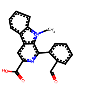 Cn1c2ccccc2c2cc(C(=O)O)nc(-c3ccccc3C=O)c21